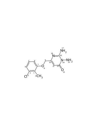 Cc1c(Cl)cccc1OCc1cc(=O)n(N)c(N)n1